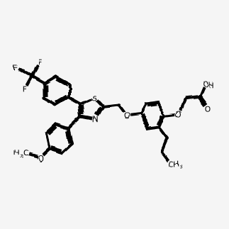 CCCc1cc(OCc2nc(-c3ccc(OC)cc3)c(-c3ccc(C(F)(F)F)cc3)s2)ccc1OCC(=O)O